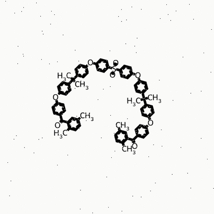 Cc1ccc(C)c(C(=O)c2ccc(Oc3ccc(C(C)(C)c4ccc(Oc5ccc(S(=O)(=O)c6ccc(Oc7ccc(C(C)(C)c8ccc(Oc9ccc(C(=O)c%10cc(C)ccc%10C)cc9)cc8)cc7)cc6)cc5)cc4)cc3)cc2)c1